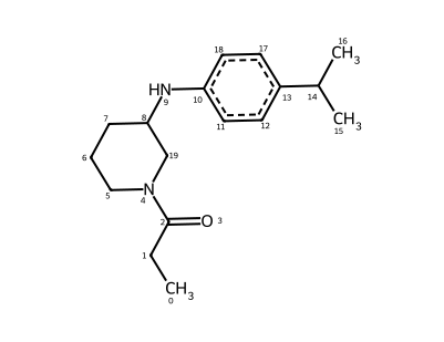 CCC(=O)N1CCCC(Nc2ccc(C(C)C)cc2)C1